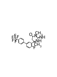 CN1C(=N)N[C@](C)(c2cc(-c3ccc(S(F)(F)(F)(F)F)cc3)ccc2F)CC1=O